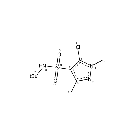 Cc1nn(C)c(Cl)c1S(=O)(=O)NC(C)(C)C